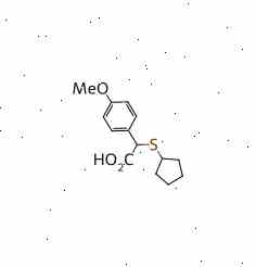 COc1ccc(C(SC2CCCC2)C(=O)O)cc1